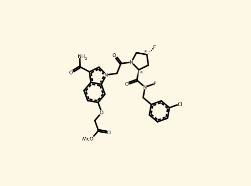 COC(=O)COc1ccc2c(C(N)=O)cn(CC(=O)N3C[C@H](F)C[C@H]3C(=O)N(F)Cc3cccc(Cl)c3)c2c1